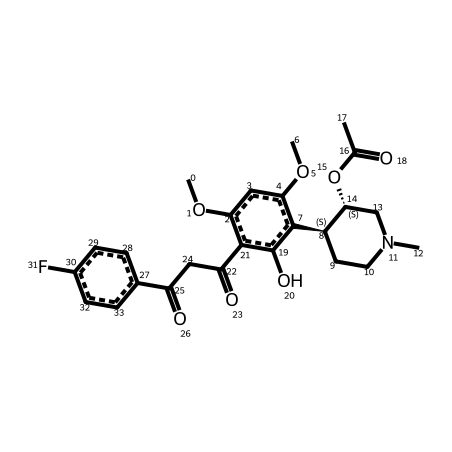 COc1cc(OC)c([C@@H]2CCN(C)C[C@H]2OC(C)=O)c(O)c1C(=O)CC(=O)c1ccc(F)cc1